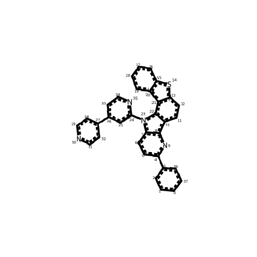 c1ccc(-c2ccc3c(n2)c2ccc4sc5ccccc5c4c2n3-c2cc(-c3ccncc3)ccn2)cc1